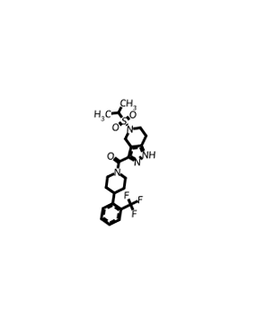 CC(C)S(=O)(=O)N1CCc2[nH]nc(C(=O)N3CCC(c4ccccc4C(F)(F)F)CC3)c2C1